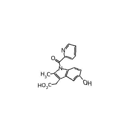 Cc1c(CC(=O)O)c2cc(O)ccc2n1C(=O)c1ccccn1